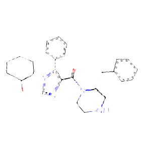 O=C(c1ncn([C@H]2CCCC[C@@H]2O)c1-c1ccccc1)N1CCNC[C@H]1Cc1ccccc1